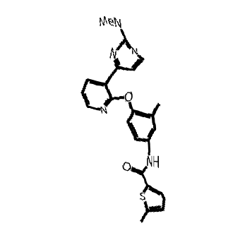 CNc1nccc(-c2cccnc2Oc2ccc(NC(=O)c3ccc(C)s3)cc2C)n1